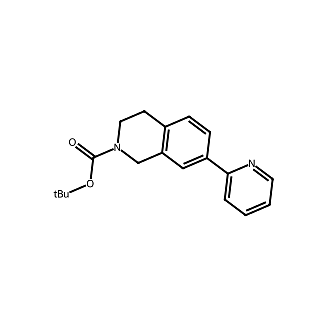 CC(C)(C)OC(=O)N1CCc2ccc(-c3ccccn3)cc2C1